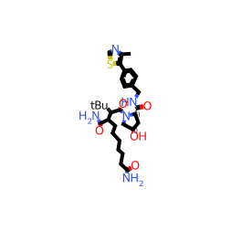 Cc1ncsc1-c1ccc(CNC(=O)[C@@H]2C[C@@H](O)CN2C(=O)C(C(CCCCCCC(N)=O)C(N)=O)C(C)(C)C)cc1